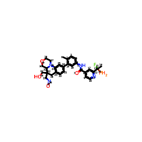 Cc1ccc(NC(=O)c2ccnc(C(C)(F)P)c2)cc1-c1ccc2c(c1)N1CCOCC1C(CO)(CN=O)C2